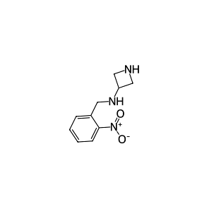 O=[N+]([O-])c1ccccc1CNC1CNC1